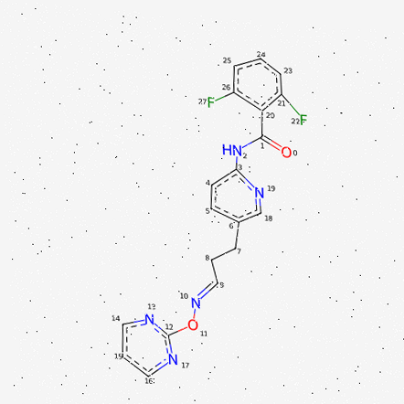 O=C(Nc1ccc(CC/C=N/Oc2ncccn2)cn1)c1c(F)cccc1F